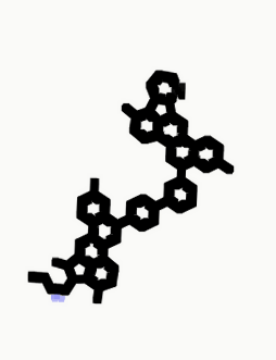 C=C/C=C\C1c2c(C)ccc3c2c(cc2c4ccc(C)cc4c(-c4ccc(-c5cccc(-c6cc7c8ccc(C)c9c8c(cc7c7ccc(C)cc67)-c6ncccc6-9)c5)cc4)cc32)C1C